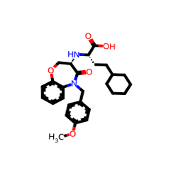 COc1ccc(CN2C(=O)[C@@H](N[C@@H](CCC3CCCCC3)C(=O)O)COc3ccccc32)cc1